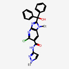 CCn1ccc(NC(=O)c2cc3c(nc2Cl)nc(C(O)(c2ccccc2)c2ccccc2)n3CC)n1